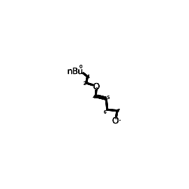 CCCCCCOC=CCC[O]